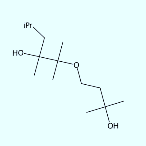 CC(C)CC(C)(O)C(C)(C)OCCC(C)(C)O